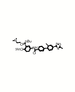 CCCCN(OCCN(C)C)c1cc(NC(=O)c2ccc(-c3ccc(-c4noc(C)n4)cc3C)cc2)ccc1OC